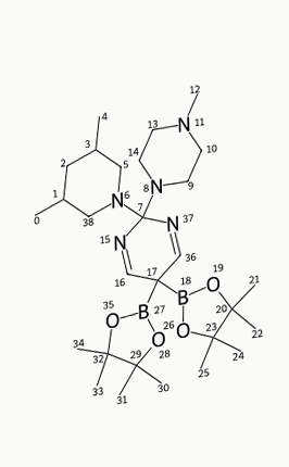 CC1CC(C)CN(C2(N3CCN(C)CC3)N=CC(B3OC(C)(C)C(C)(C)O3)(B3OC(C)(C)C(C)(C)O3)C=N2)C1